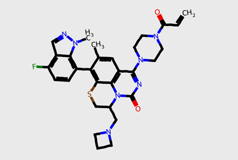 C=CC(=O)N1CCN(c2nc(=O)n3c4c(c(-c5ccc(F)c6cnn(C)c56)c(C)cc24)SCC3CN2CCC2)CC1